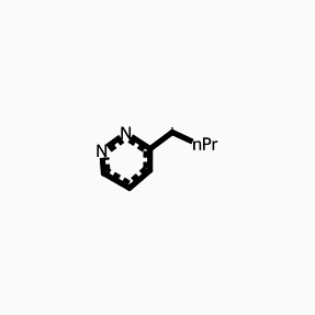 CCC[CH]c1cccnn1